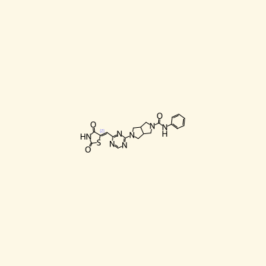 O=C1NC(=O)/C(=C/c2ncnc(N3CC4CN(C(=O)Nc5ccccc5)CC4C3)n2)S1